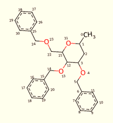 CC1CC(OCc2ccccc2)C(OCc2ccccc2)C(COCc2ccccc2)O1